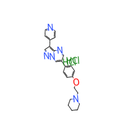 Cl.Cl.c1cc(-c2cnn3cc(-c4ccc(OCCN5CCCCC5)cc4)cnc23)ccn1